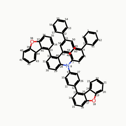 c1ccc(-c2ccc(N(c3ccc(-c4cccc5oc6ccccc6c45)cc3)c3cccc(-c4cccc5oc6ccccc6c45)c3-c3cccc(-c4ccccc4)c3)cc2)cc1